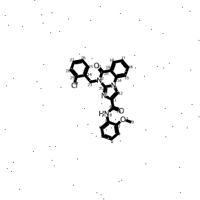 COc1ccccc1NC(=O)c1cn2c3ccccc3c(=O)n(Cc3ccccc3Cl)c2n1